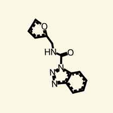 O=C(NCc1ccco1)n1nnc2ccccc21